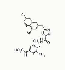 CC(=O)c1cc(Cc2nnc(C(=O)NCc3c(C)cc(NC(=O)O)nc3C)o2)cc2cc(Cl)cnc12